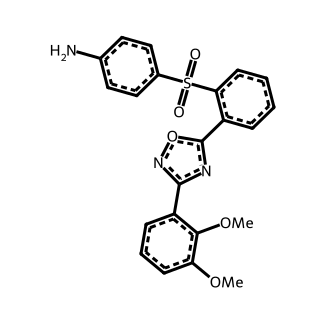 COc1cccc(-c2noc(-c3ccccc3S(=O)(=O)c3ccc(N)cc3)n2)c1OC